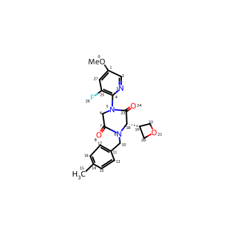 COc1cnc(N2CC(=O)N(Cc3ccc(C)cc3)[C@@H](C3COC3)C2=O)c(F)c1